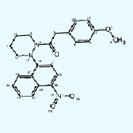 COc1ccc(CC(=O)N2CCCCN2c2ccc([N+](=O)[O-])c3ccccc23)cc1